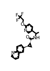 CC(NC(=O)[C@@H]1C[C@H]1c1ccc2ncccc2c1)c1ccc(OCC(F)(F)F)nc1